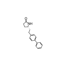 O=C1CC[C@@H](CCc2ccc(-c3ccccc3)cc2)N1